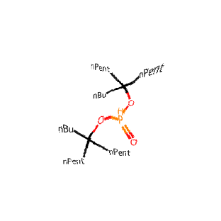 CCCCCC(CCCC)(CCCCC)O[PH](=O)OC(CCCC)(CCCCC)CCCCC